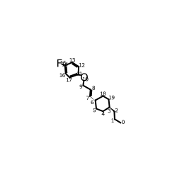 CCC[C@H]1CC[C@H](/C=C/COc2ccc(F)cc2)CC1